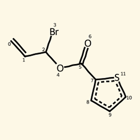 C=CC(Br)OC(=O)c1cccs1